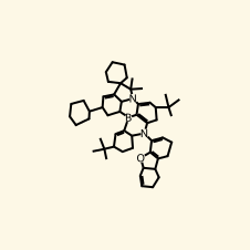 CC(C)(C)C1C=C2B3C4=C(CC(C(C)(C)C)C=C4N4C5C(=CC(C6CCCCC6)CC35)C3(CCCCC3)C4(C)C)N(C3=CCCC4=C3OC3C=CCCC43)C2CC1